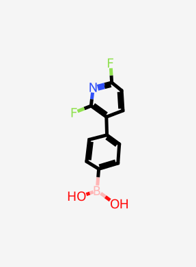 OB(O)c1ccc(-c2ccc(F)nc2F)cc1